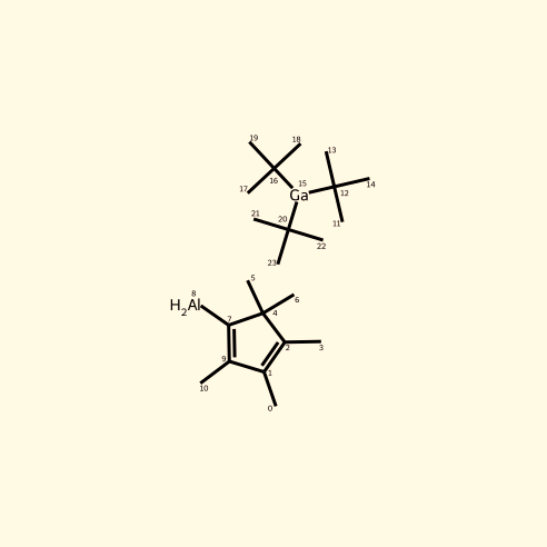 CC1=C(C)C(C)(C)[C]([AlH2])=C1C.C[C](C)(C)[Ga]([C](C)(C)C)[C](C)(C)C